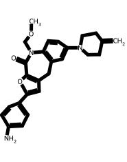 C=C1CCN(c2ccc3c(c2)Cc2cc(-c4ccc(N)cc4)oc2C(=O)N3COC)CC1